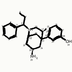 CCC(c1ccccc1)N1C[C@@H](C)C2(c3cccc(O)c3)CC1C[C@H](N)C2